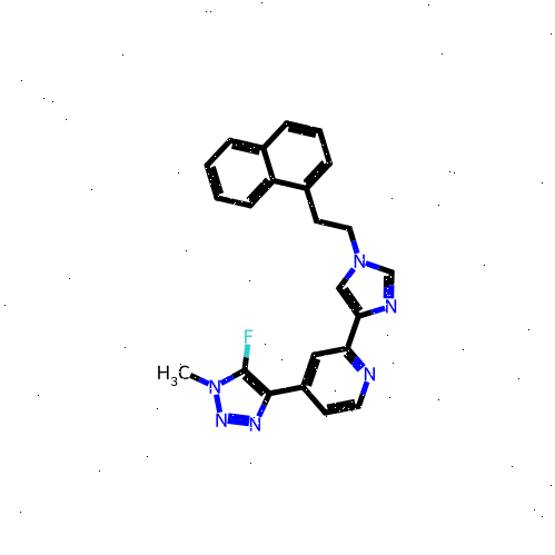 Cn1nnc(-c2ccnc(-c3cn(CCc4cccc5ccccc45)cn3)c2)c1F